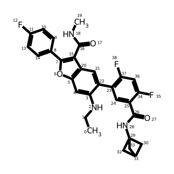 CCNc1cc2oc(-c3ccc(F)cc3)c(C(=O)NC)c2cc1-c1cc(C(=O)NC23CC(C2)C3)c(F)cc1F